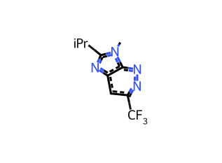 CC(C)c1nc2cc(C(F)(F)F)nnc2n1C